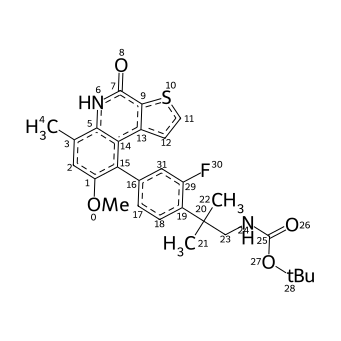 COc1cc(C)c2[nH]c(=O)c3sccc3c2c1-c1ccc(C(C)(C)CNC(=O)OC(C)(C)C)c(F)c1